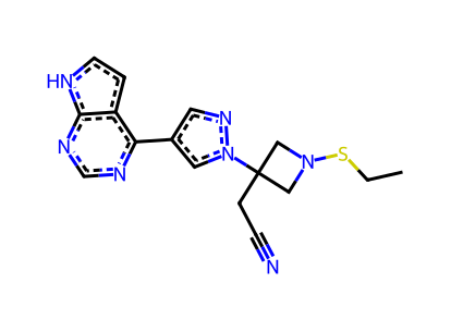 CCSN1CC(CC#N)(n2cc(-c3ncnc4[nH]ccc34)cn2)C1